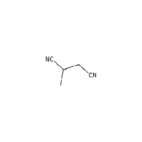 C[C](C#N)CC#N